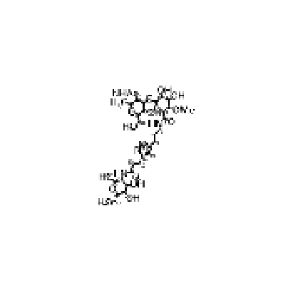 CO[C@@H]1C(C(=O)NCCCn2cc(CCC(=O)N[C@H]3C(O)O[C@H](CO)[C@@H](O)[C@@H]3O)nn2)O[C@@H](O[C@@H]2C(NC(C)=O)[C@H](C)OC(CO)[C@H]2O)C(O)[C@H]1O